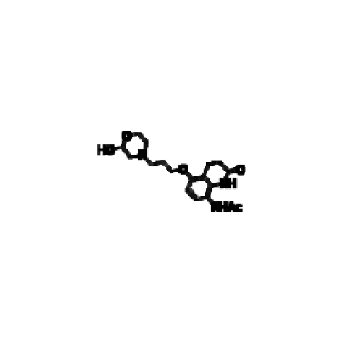 CC(=O)Nc1ccc(OCCCN2CCOC(O)C2)c2c1NC(=O)CC2